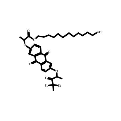 CCC(C)(CC)C(=O)C(C)Oc1ccc2c(c1)C(=O)c1ccc(OC(C)C(=O)OCCCCCCCCCCCCO)cc1C2=O